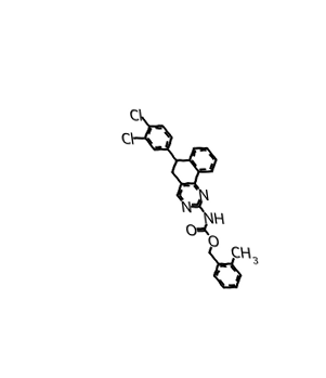 Cc1ccccc1COC(=O)Nc1ncc2c(n1)-c1ccccc1C(c1ccc(Cl)c(Cl)c1)C2